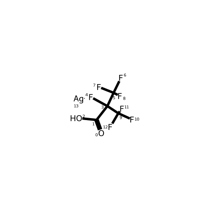 O=C(O)C(F)(C(F)(F)F)C(F)(F)F.[Ag]